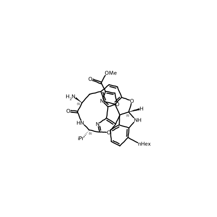 CCCCCCc1cccc2c1N[C@H]1Oc3ccc4cc3C21c1oc(nc1-c1nc(C(=O)OC)co1)[C@H](C(C)C)NC(=O)[C@@H](N)C4